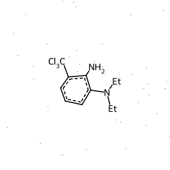 CCN(CC)c1cccc(C(Cl)(Cl)Cl)c1N